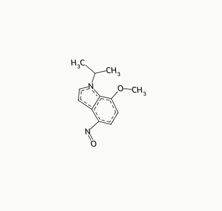 COc1ccc(N=O)c2ccn(C(C)C)c12